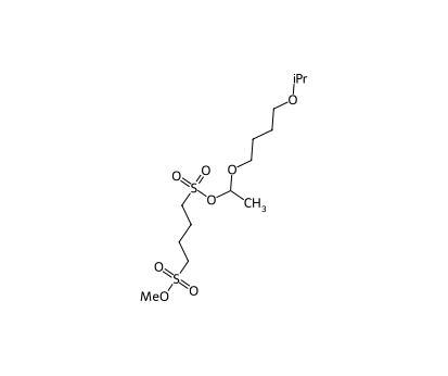 COS(=O)(=O)CCCCS(=O)(=O)OC(C)OCCCCOC(C)C